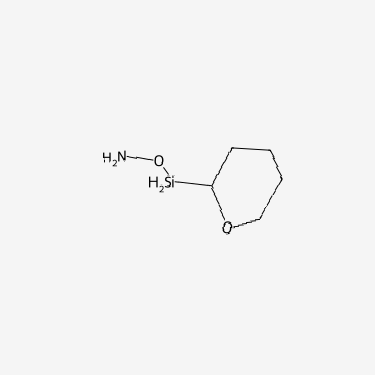 NO[SiH2]C1CCCCO1